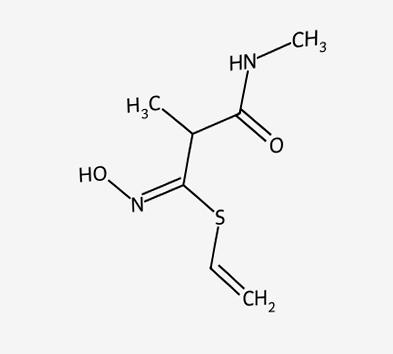 C=CSC(=NO)C(C)C(=O)NC